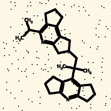 CC(C)c1nc2c(c3c1CCC3)CC(CC(C)(C)c1c3c(nc4c1CCC4)CCC3)C2